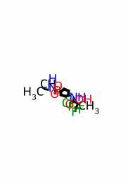 CC(C)CNS(=O)(=O)c1ccc(NC(=O)[C@@](C)(O)C(F)(F)F)c(Cl)c1